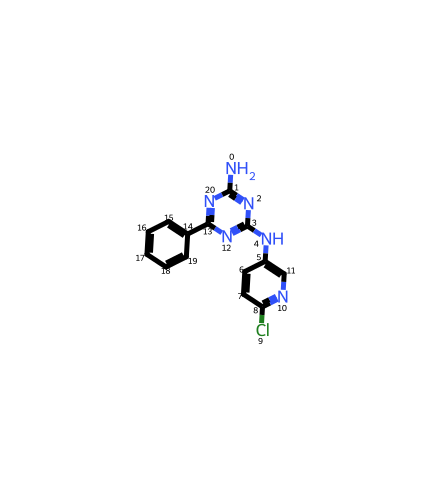 Nc1nc(Nc2ccc(Cl)nc2)nc(-c2ccccc2)n1